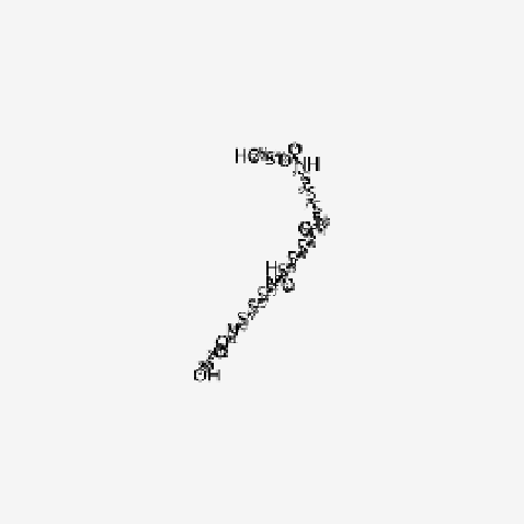 O=C(NCSCSCSC/N=C\[S+]([O-])CSCSCSC(=O)NCSCSCSC/N=C/OOCSCO)OCSCO